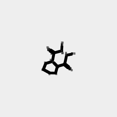 O=C(OF)C1CCCCN1C(=O)OF